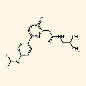 CC(C)CNC(=O)Cn1nc(-c2ccc(OC(F)F)cc2)ccc1=O